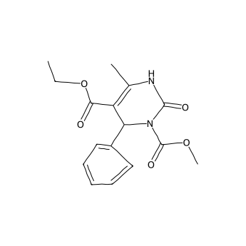 CCOC(=O)C1=C(C)NC(=O)N(C(=O)OC)C1c1ccccc1